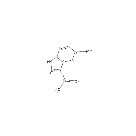 O=C(O)c1n[nH]c2c1CC(F)C=C2